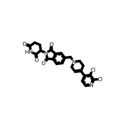 O=C1CCC(N2C(=O)c3ccc(CN4CC=C(c5ccnc(Cl)c5Cl)CC4)cc3C2=O)C(=O)N1